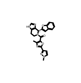 Cc1nc(-c2ccn(C)n2)oc1C(=O)N1CCc2[nH]cnc2[C@H]1c1cc2ccccc2o1